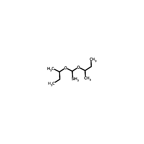 CCC(C)OC([SiH3])OC(C)CC